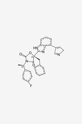 C[C@H](c1ccc(F)cc1)N1C(=O)O[C@](Cc2ccccc2)(c2nc3c(C4=CCN=C4)cccc3[nH]2)C1=O